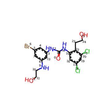 O=C(Nc1cc(Br)cc(NCCO)c1)Nc1cc(Cl)cc(Cl)c1CCO